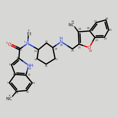 CCN(C(=O)c1cc2cc(C#N)ccc2[nH]1)C1CCCC(NCc2oc3ccccc3c2C#N)C1